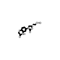 O=CCC[C@H]1CN(c2ccc3c(c2)NC(=O)CS3)C(=O)O1